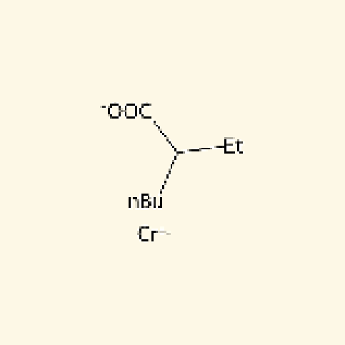 CCCCC(CC)C(=O)[O-].[Cr+]